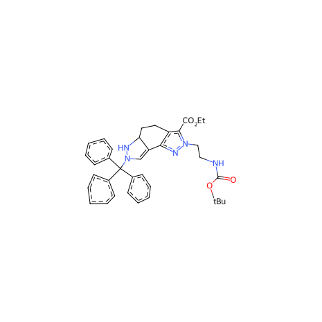 CCOC(=O)c1c2c(nn1CCNC(=O)OC(C)(C)C)C1=CN(C(c3ccccc3)(c3ccccc3)c3ccccc3)NC1CC2